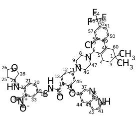 CC1(C)CCC(CN2CCN(c3ccc(C(=O)NSc4ccc(NC5CCOC5)c([N+](=O)[O-])c4)c(Oc4cnc5[nH]ccc5c4)c3)CC2)=C(c2ccc(C(F)(F)F)cc2Cl)C1